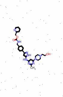 Cc1nc(Nc2cc(-c3ccc(CNC(=O)OCc4ccccn4)cc3)n[nH]2)cc(N2CCN(CCO)CC2)n1